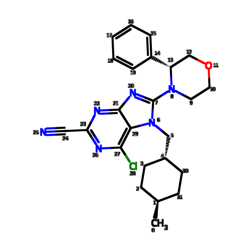 C[C@H]1CC[C@H](Cn2c(N3CCOC[C@H]3c3ccccc3)nc3nc(C#N)nc(Cl)c32)CC1